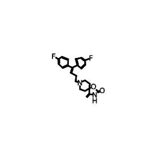 C=C1NC(=O)OC12CCN(CCC=C(c1ccc(F)cc1)c1ccc(F)cc1)CC2